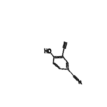 C#Cc1cc(C#N)ccc1O